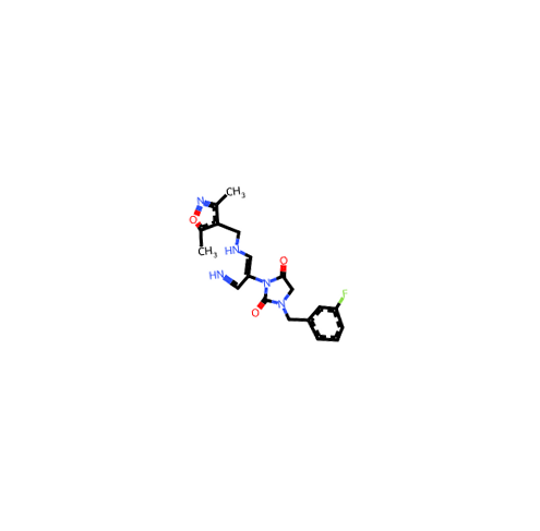 Cc1noc(C)c1CN/C=C(\C=N)N1C(=O)CN(Cc2cccc(F)c2)C1=O